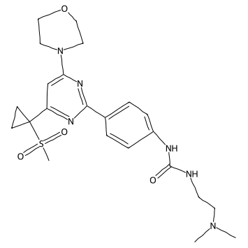 CN(C)CCNC(=O)Nc1ccc(-c2nc(N3CCOCC3)cc(C3(S(C)(=O)=O)CC3)n2)cc1